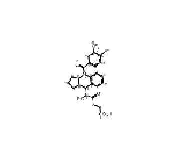 CCN(C(=O)CCC(=O)O)C1c2ccccc2N(C(=O)c2ccc(F)c(C(F)(F)F)c2)C2CCCC12